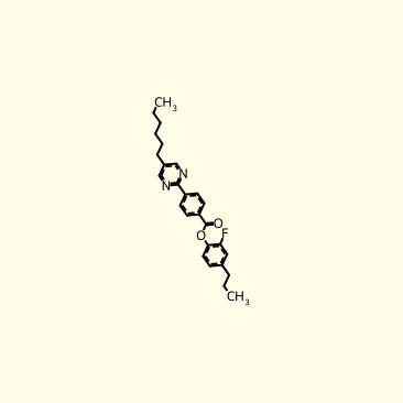 CCCCCCc1cnc(-c2ccc(C(=O)Oc3ccc(CCC)cc3F)cc2)nc1